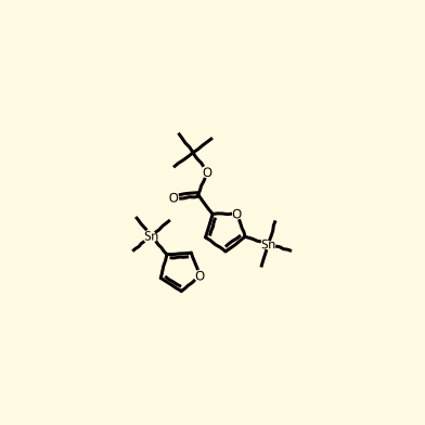 CC(C)(C)OC(=O)c1cc[c]([Sn]([CH3])([CH3])[CH3])o1.[CH3][Sn]([CH3])([CH3])[c]1ccoc1